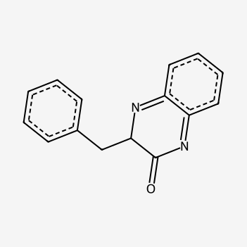 O=C1N=c2ccccc2=NC1Cc1ccccc1